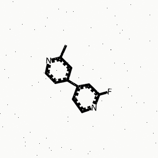 Cc1cc(-c2ccnc(F)c2)ccn1